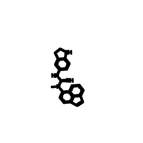 CN(C(=N)Nc1ccc2c(c1)CCN2)c1ccc2c3c(cccc13)C=C2